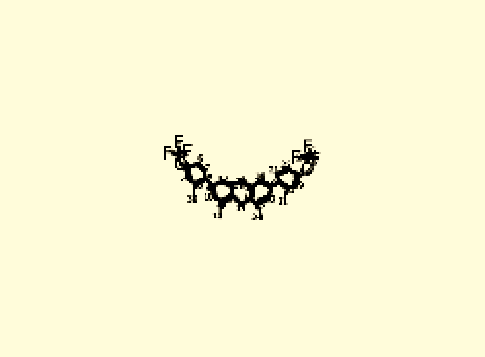 FC(F)(F)Oc1ccc(-c2cc(I)c(Cc3c(I)cc(-c4ccc(OC(F)(F)F)cc4I)cc3I)c(I)c2)c(I)c1